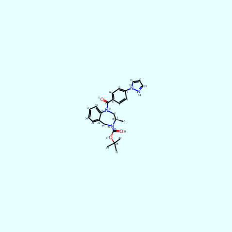 C[C@@H]1CN(C(=O)c2ccc(-n3cccn3)cc2)c2ccccc2CN1C(=O)OC(C)(C)C